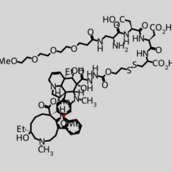 CC[C@]1(O)CCC[C@](C(=O)OC)(c2cc3c(cc2OC)N(C)[C@H]2[C@@](O)(C(=O)NNC(=O)OCCSSCC(NC(=O)[C@H](CC(=O)O)NC(=O)[C@H](CC(=O)O)NC(=O)[C@@H](N)CNC(=O)CCOCCOCCOCCOC)C(=O)O)[C@H](O)[C@]4(CC)C=CCN5CC[C@]32[C@@H]54)c2[nH]c3ccccc3c2CCN(C)C1